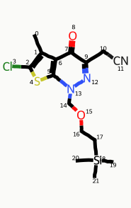 Cc1c(Cl)sc2c1c(=O)c(CC#N)nn2COCC[Si](C)(C)C